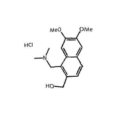 COc1cc2ccc(CO)c(CN(C)C)c2cc1OC.Cl